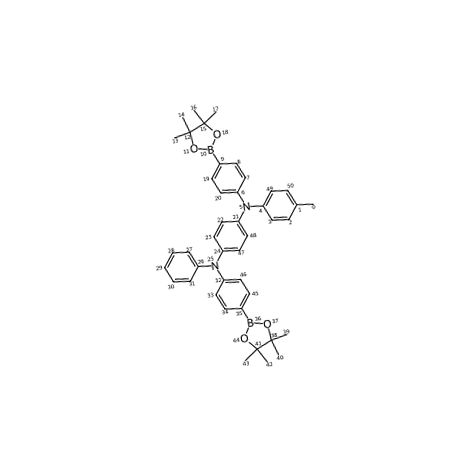 Cc1ccc(N(c2ccc(B3OC(C)(C)C(C)(C)O3)cc2)c2ccc(N(c3ccccc3)c3ccc(B4OC(C)(C)C(C)(C)O4)cc3)cc2)cc1